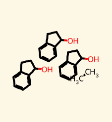 CC.OC1CCc2ccccc21.OC1CCc2ccccc21.OC1CCc2ccccc21